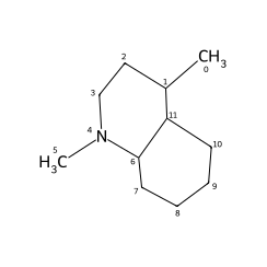 CC1CCN(C)C2CCCCC12